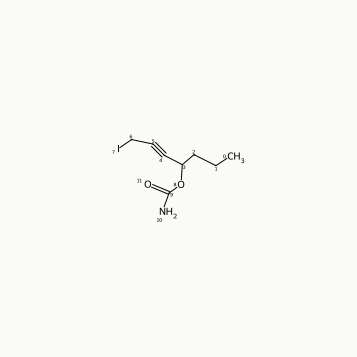 CCCC(C#CCI)OC(N)=O